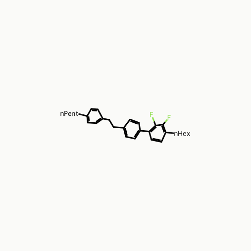 CCCCCCc1ccc(-c2ccc(CCc3ccc(CCCCC)cc3)cc2)c(F)c1F